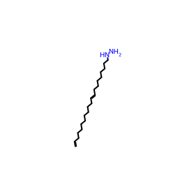 C=CCCCCCCCCCC=CCCCCCCCCNN